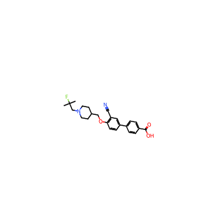 CC(C)(F)CN1CCC(COc2ccc(-c3ccc(C(=O)O)cc3)cc2C#N)CC1